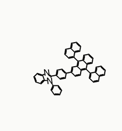 c1ccc(-n2c(-c3ccc(-c4ccc5c(-c6cccc7ccccc67)c6ccccc6c(-c6cccc7ccccc67)c5c4)cc3)nc3ccccc32)cc1